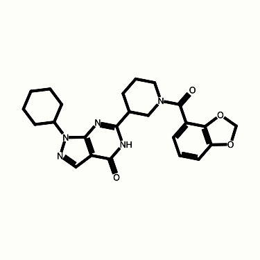 O=C(c1cccc2c1OCO2)N1CCCC(c2nc3c(cnn3C3CCCCC3)c(=O)[nH]2)C1